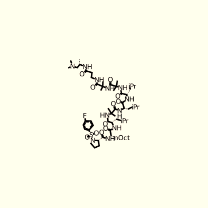 CCCCCCCC[C@H](NC(=O)[C@@H]1CCCN1S(=O)(=O)c1ccc(F)cc1)C(=O)N[C@@H](CC(C)C)C(=O)NC(C)(C)C(=O)N[C@@H](CC(C)C)C(=O)N[C@@H](CC(C)C)C(=O)NC(C)(C)C(=O)NC(C)(C)C(=O)NCCC(=O)N[C@@H](C)CN(C)C